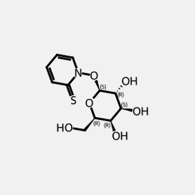 OC[C@H]1O[C@@H](On2ccccc2=S)[C@H](O)[C@@H](O)[C@H]1O